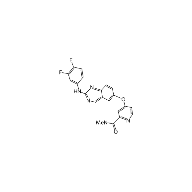 CNC(=O)c1cc(Oc2ccc3nc(Nc4ccc(F)c(F)c4)ncc3c2)ccn1